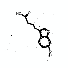 COc1ccc2c(CCCC(=O)O)coc2c1